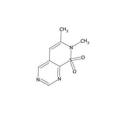 CC1=Cc2cncnc2S(=O)(=O)N1C